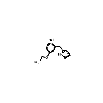 Cl.O=C(O)COc1cccc(Cc2ncc[nH]2)c1